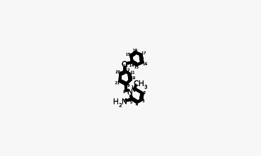 Cc1cccc(N)[n+]1Cc1ccc(Oc2ccccc2)cc1